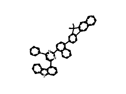 CC1(C)c2cc(-c3ccc(-c4nc(-c5ccccc5)cc(-c5cccc6sc7ccccc7c56)n4)c4ccccc34)ccc2-c2cc3ccccc3cc21